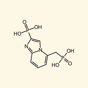 O=P(O)(O)Cc1cccc2nc(P(=O)(O)O)cn12